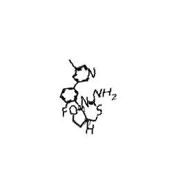 Cc1cncc(-c2ccc(F)c([C@@]34N=C(N)SC[C@@H]3CCO4)c2)c1